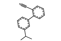 CC(C)c1cccc(-c2ccccc2C#N)c1